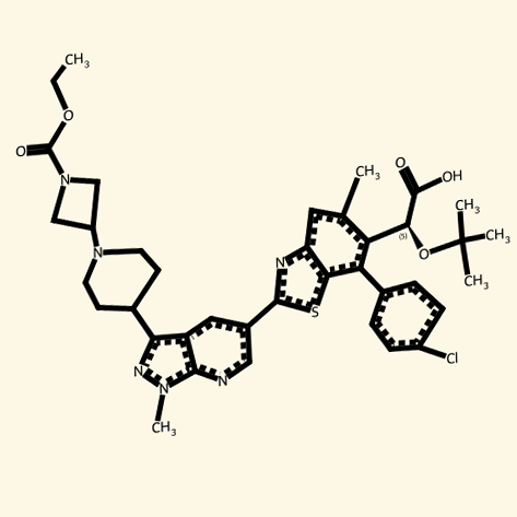 CCOC(=O)N1CC(N2CCC(c3nn(C)c4ncc(-c5nc6cc(C)c([C@H](OC(C)(C)C)C(=O)O)c(-c7ccc(Cl)cc7)c6s5)cc34)CC2)C1